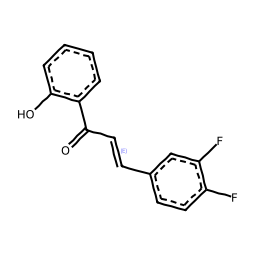 O=C(/C=C/c1ccc(F)c(F)c1)c1ccccc1O